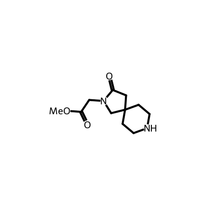 COC(=O)CN1CC2(CCNCC2)CC1=O